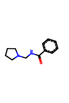 O=C(NCN1CCCC1)c1ccccc1